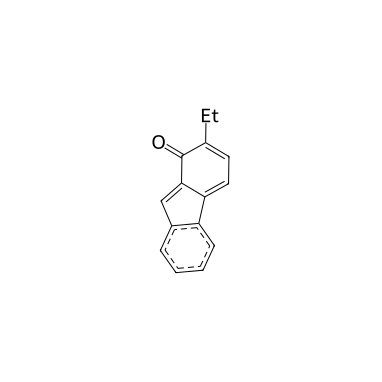 CCC1=CC=C2C(=Cc3ccccc32)C1=O